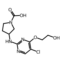 O=C(O)N1CCC(Nc2ncc(Cl)c(OCCO)n2)C1